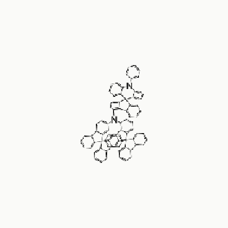 c1ccc(N2c3ccccc3C3(c4ccccc4-c4c(N(c5ccc6c(c5)C5(c7ccccc7-c7ccccc75)c5ccccc5-6)c5cccc6c5-c5ccccc5C65c6ccccc6-c6ccccc65)cccc43)c3ccccc32)cc1